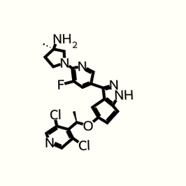 C[C@@H](Oc1ccc2[nH]nc(-c3cnc(N4CC[C@@](C)(N)C4)c(F)c3)c2c1)c1c(Cl)cncc1Cl